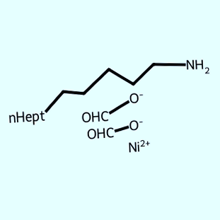 CCCCCCCCCCCCN.O=C[O-].O=C[O-].[Ni+2]